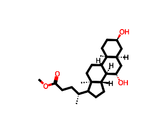 COC(=O)CC[C@@H](C)C1CC[C@H]2[C@@H]3[C@@H](O)C[C@@H]4C[C@H](O)CC[C@]4(C)[C@H]3CC[C@]12C